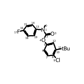 CN(C(=O)Oc1ccc(Cl)c(C(C)(C)C)c1)c1ccc(F)cc1